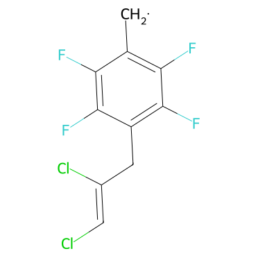 [CH2]c1c(F)c(F)c(C/C(Cl)=C/Cl)c(F)c1F